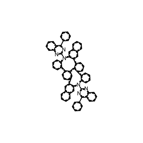 c1ccc(-c2nc(-n3c4ccccc4c4cccc5c6cc7ccccc7cc6n(-c6nc(-c7ccccc7)c7ccccc7n6)c6ccccc6c6cccc(c7cc8ccccc8cc73)c6c45)nc3ccccc23)cc1